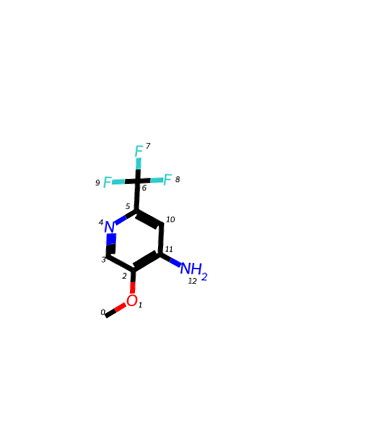 COc1cnc(C(F)(F)F)cc1N